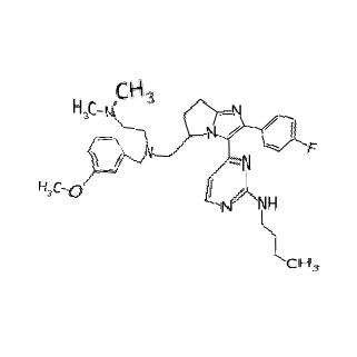 CCCCNc1nccc(-c2c(-c3ccc(F)cc3)nc3n2C(CN(CCN(C)C)Cc2cccc(OC)c2)CC3)n1